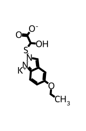 CCOc1ccc2nn(SC(O)C(=O)[O-])cc2c1.[K+]